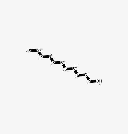 B=S=S=S=S=S=S=S=S=S=S=S